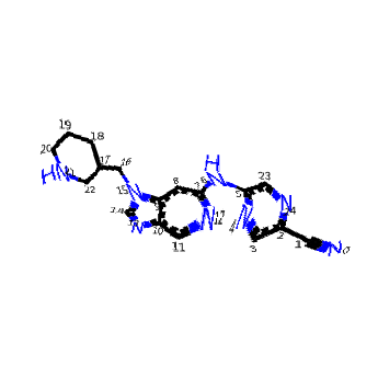 N#Cc1cnc(Nc2cc3c(cn2)ncn3CC2CCCNC2)cn1